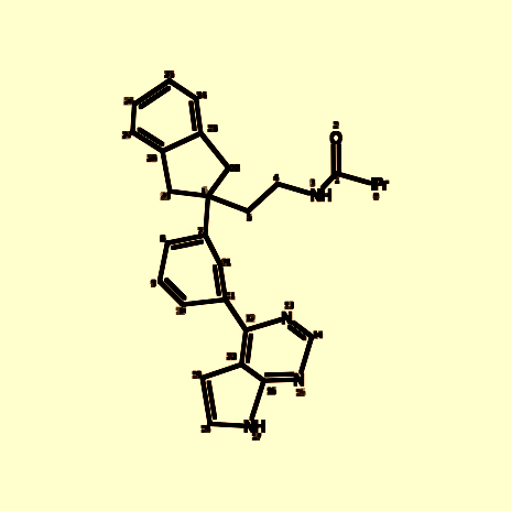 CC(C)C(=O)NCCC1(c2cccc(-c3ncnc4[nH]ccc34)c2)Cc2ccccc2C1